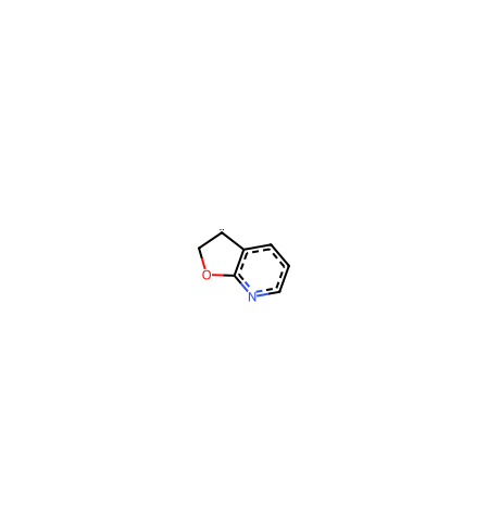 [C]1COc2ncccc21